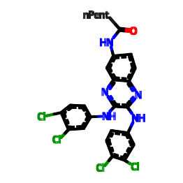 CCCCCC(=O)Nc1ccc2nc(Nc3ccc(Cl)c(Cl)c3)c(Nc3ccc(Cl)c(Cl)c3)nc2c1